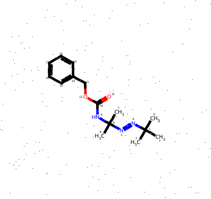 CC(C)(C)N=NC(C)(C)NC(=O)OCc1ccccc1